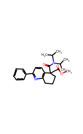 COC(=O)C1(C(=O)N(C(C)C)C(C)C)CCCc2nc(-c3ccccc3)ccc21